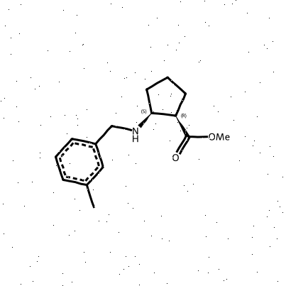 COC(=O)[C@@H]1CCC[C@@H]1NCc1cccc(C)c1